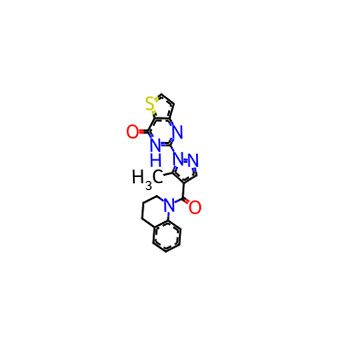 Cc1c(C(=O)N2CCCc3ccccc32)cnn1-c1nc2ccsc2c(=O)[nH]1